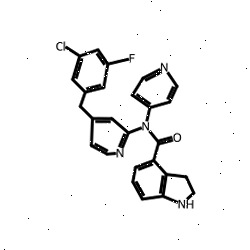 O=C(c1cccc2c1CCN2)N(c1ccncc1)c1cc(Cc2cc(F)cc(Cl)c2)ccn1